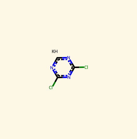 Clc1ncnc(Cl)n1.[KH]